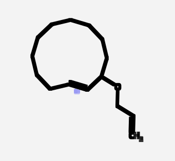 C=CCOC1/C=C/CCCCCCCCC1